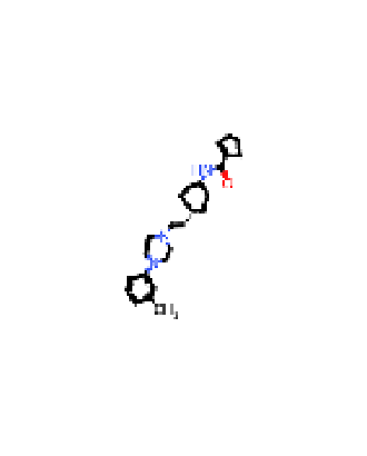 Cc1cccc(N2CCN(CC[C@H]3CC[C@H](NC(=O)C4=CCCC4)CC3)CC2)c1